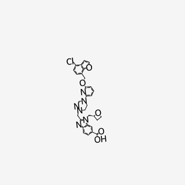 O=C(O)c1ccc2nc(CN3CCN(c4cccc(OCc5ccc(Cl)c6ccoc56)n4)C=N3)n(C[C@@H]3CCO3)c2c1